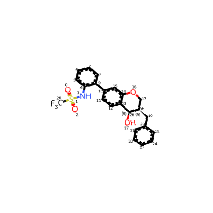 O=S(=O)(Nc1ccccc1-c1ccc2c(c1)OC[C@@H](Cc1ccccc1)[C@H]2O)C(F)(F)F